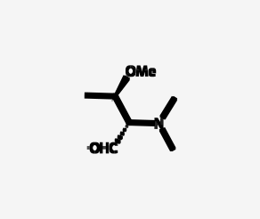 CO[C@H](C)[C@@H]([C]=O)N(C)C